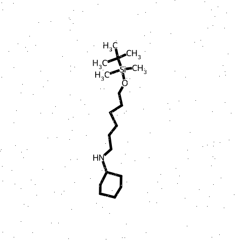 CC(C)(C)[Si](C)(C)OCCCCCCNC1CCCCC1